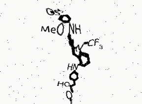 COc1cc([S+](C)[O-])ccc1NCC#Cc1cc2c(NC3CC=C(CC(O)COI)CC3)cccc2n1CC(F)(F)F